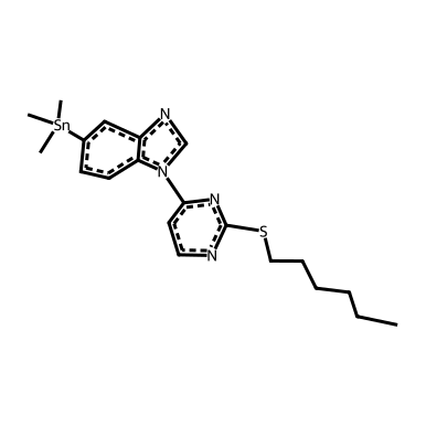 CCCCCCSc1nccc(-n2cnc3c[c]([Sn]([CH3])([CH3])[CH3])ccc32)n1